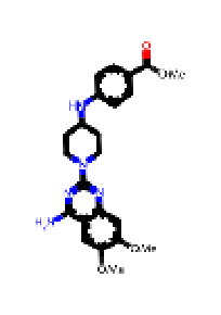 COC(=O)c1ccc(NC2CCN(c3nc(N)c4cc(OC)c(OC)cc4n3)CC2)cc1